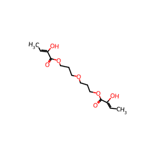 CC=C(O)C(=O)OCCCOCCCOC(=O)C(O)=CC